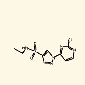 CCNS(=O)(=O)c1cnn(-c2ccnc(Cl)n2)c1